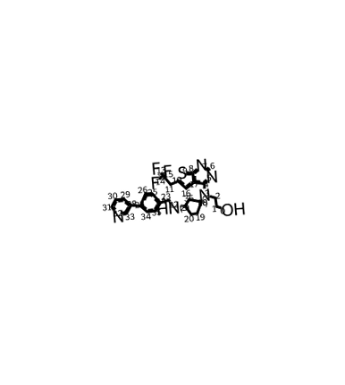 OCCN(c1ncnc2sc(CC(F)(F)F)cc12)[C@@H]1CC[C@H](NCc2ccc(-c3cccnc3)cc2)C1